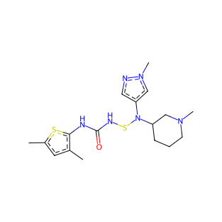 Cc1cc(C)c(NC(=O)NSN(c2cnn(C)c2)C2CCCN(C)C2)s1